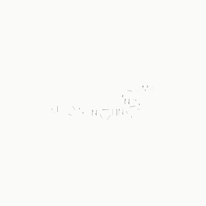 CCc1nc2c(OC)cccn2c1C(=O)NCc1ccc(N2CCN(C3=CCC(Cl)C=C3)CC2)cc1